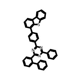 c1ccc(-c2nc(-c3ccc(-c4cccc5c4sc4ccccc45)cc3)nc(-c3ccccc3-c3ccccc3)n2)cc1